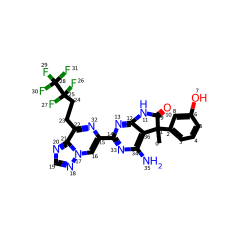 CC1(c2cccc(O)c2)C(=O)Nc2nc(-c3cn4ncnc4c(CCC(F)(F)C(F)(F)F)n3)nc(N)c21